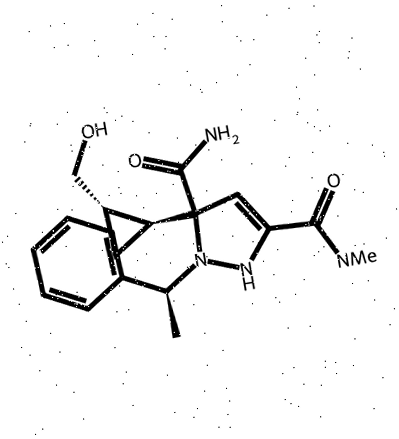 CNC(=O)C1=CC(C(N)=O)([C@H]2C[C@@H]2CO)N([C@@H](C)c2ccccc2)N1